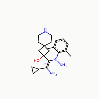 Cc1cccc(C)c1N(N)/C(=C(\N)C1CC1)C1(O)CC2(CCNCC2)C1